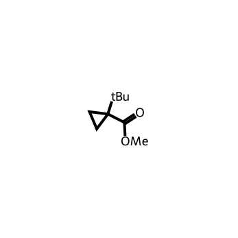 COC(=O)C1(C(C)(C)C)CC1